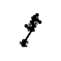 CC(C)(C)OC(=O)NNC(=O)OCCCCCCCCCCCCNC(=O)[C@@H]1CN(C(=O)c2ccc(C(=O)N3C[C@@H](C(=O)N[C@H]4C[C@@H]4c4ccccc4)[C@H](C(=O)N[C@H]4C[C@@H]4c4ccccc4)C3)cc2)C[C@H]1C(=O)N[C@H]1C[C@@H]1c1ccccc1